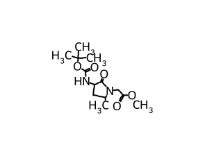 COC(=O)CN1C(=O)C(NC(=O)OC(C)(C)C)CC1C